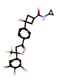 O=C(NC1CC1)C1CC(O)(c2ccc(C3=NOC(c4cc(Cl)c(Cl)c(Cl)c4)(C(F)(F)F)C3)cc2)C1